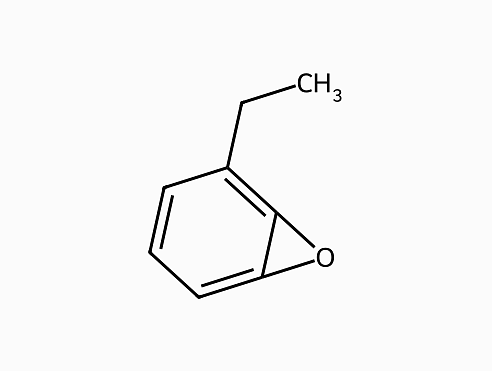 CCc1cccc2c1O2